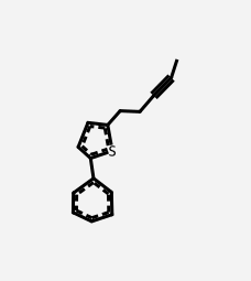 CC#CCCc1ccc(-c2ccccc2)s1